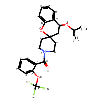 CC(C)OC1CC2(CCN(C(=O)c3ccccc3OC(F)(F)F)CC2)Oc2ccccc21